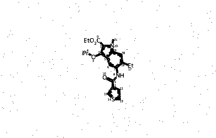 CCOC(=O)c1c(OC(C)C)c2cc(NC(=O)c3ccsc3)c(CC)cc2n1C